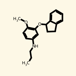 CCCNc1ccc(OC)c(OC2CCc3ccccc32)c1